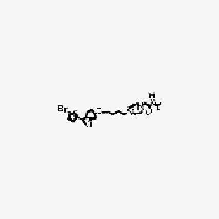 CC(C)NC(=O)CN1CCN(CCCCCOc2ccc3c(-c4ccc(Br)s4)coc3c2)CC1